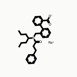 CCCC(CCC)N(Cc1ccccc1-c1ccccc1C(=O)[O-])C(=O)CCc1ccccc1.[Na+]